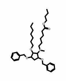 CCCCCCCOC1C(OCc2ccccc2)CC(OCc2ccccc2)C1N(C)CCCCCC(=O)OCCCC